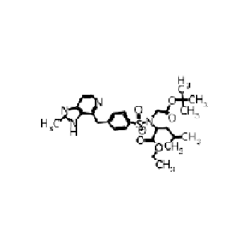 CCOC(=O)[C@H](CC(C)C)N(CC(=O)OC(C)(C)C)S(=O)(=O)c1ccc(Cc2nccc3nc(C)[nH]c23)cc1